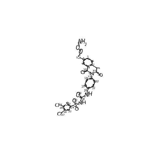 NOOSc1ccc2c(c1)C(=O)N(c1ccc(NC(=O)NS(=O)(=O)c3cc(Cl)c(Cl)s3)cc1)C(=O)C2